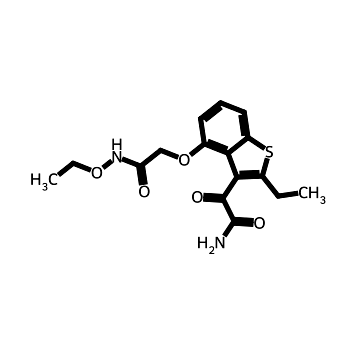 CCONC(=O)COc1cccc2sc(CC)c(C(=O)C(N)=O)c12